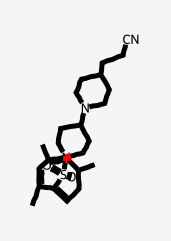 CC1=C/C(C)C/C=C(S(=O)(=O)N2CCC(N3CCC(CCC#N)CC3)CC2)/C(C)=C\1